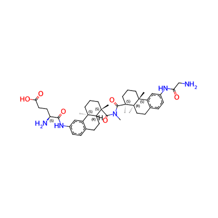 CN(C(=O)[C@@]1(C)CCC[C@]2(C)c3cc(NC(=O)[C@@H](N)CCC(=O)O)ccc3CC[C@@H]12)C(=O)[C@@]1(C)CCC[C@]2(C)c3cc(NC(=O)CN)ccc3CC[C@@]12C